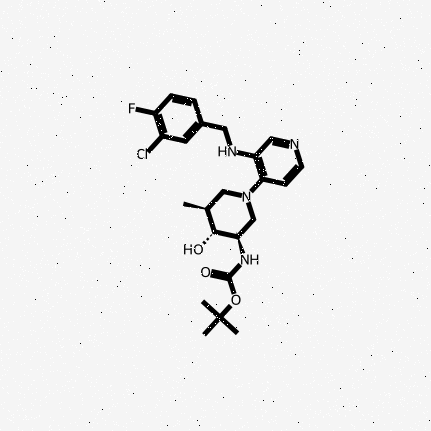 C[C@H]1CN(c2ccncc2NCc2ccc(F)c(Cl)c2)C[C@@H](NC(=O)OC(C)(C)C)[C@@H]1O